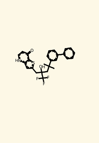 CC(C)(CC(O)(Cc1cc2[nH]ccc(=O)c2s1)C(F)(F)F)c1cccc(-c2ccccc2)c1